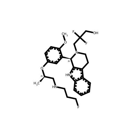 COc1ccc(O[C@H](C)CNCCCF)cc1[C@@H]1c2[nH]c3ccccc3c2CCN1CC(F)(F)CO